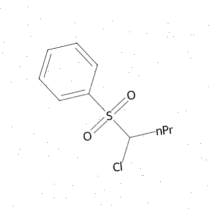 CCCC(Cl)S(=O)(=O)c1ccccc1